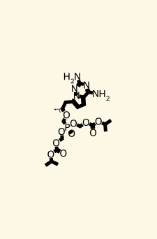 CC(C)OC(=O)OCOP(=O)(CO[C@H](C)Cc1ccc2c(N)nc(N)nn12)OCOC(=O)OC(C)C